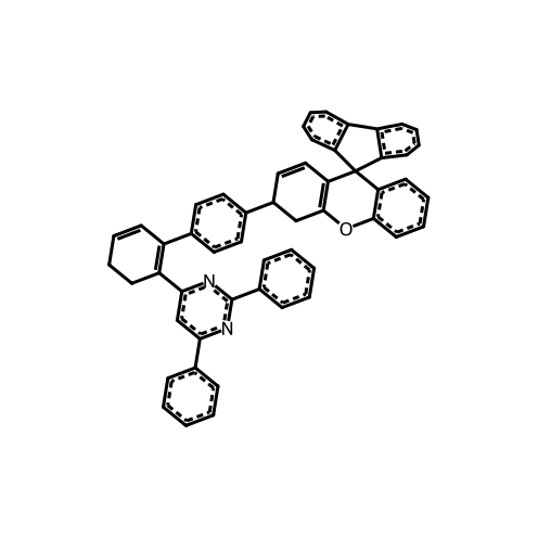 C1=CC(c2ccc(C3C=CC4=C(C3)Oc3ccccc3C43c4ccccc4-c4ccccc43)cc2)=C(c2cc(-c3ccccc3)nc(-c3ccccc3)n2)CC1